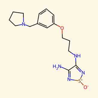 Nc1n[s+]([O-])nc1NCCCOc1cccc(CN2CCCC2)c1